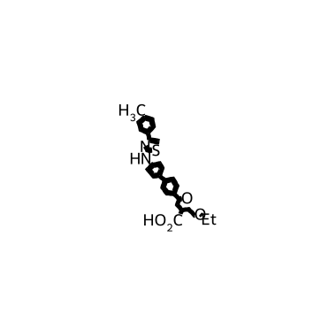 CCOCCC(CC(=O)c1ccc(-c2ccc(Nc3nc(-c4ccc(C)cc4)cs3)cc2)cc1)C(=O)O